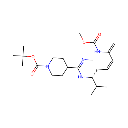 C=C(/C=C\C[C@@H](N/C(=N\C)C1CCN(C(=O)OC(C)(C)C)CC1)C(C)C)NC(=O)OC